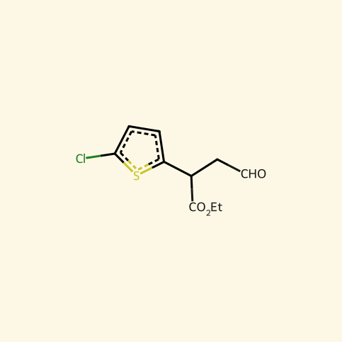 CCOC(=O)C(CC=O)c1ccc(Cl)s1